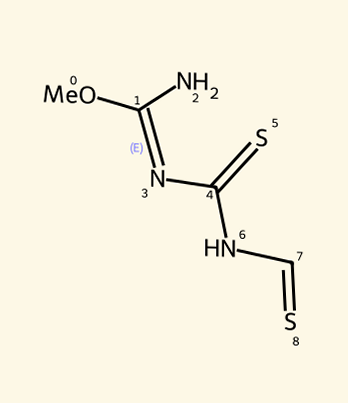 CO/C(N)=N/C(=S)NC=S